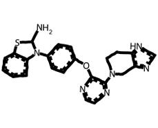 NC1Sc2ccccc2N1c1ccc(Oc2nccnc2N2CCc3[nH]cnc3C2)cc1